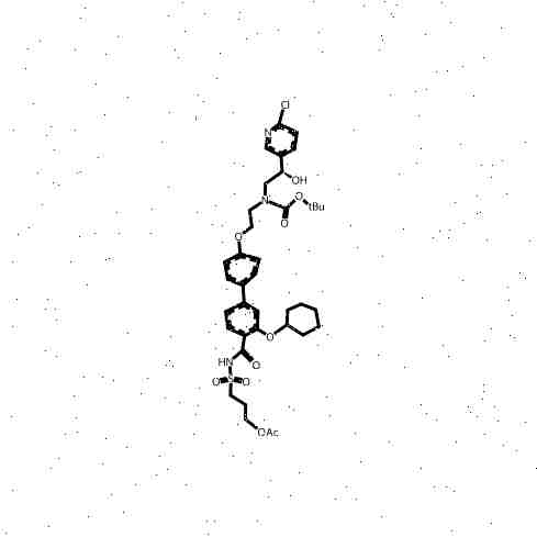 CC(=O)OCCCS(=O)(=O)NC(=O)c1ccc(-c2ccc(OCCN(C[C@H](O)c3ccc(Cl)nc3)C(=O)OC(C)(C)C)cc2)cc1OC1CCCCC1